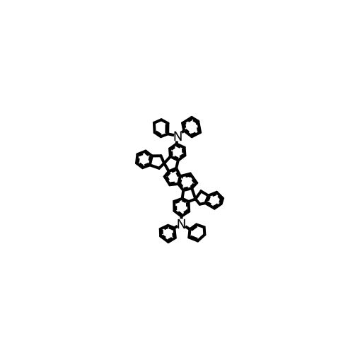 C1=CC(N(c2ccccc2)c2ccc3c(c2)C2(Cc4ccccc4C2)c2ccc4c5c(ccc4c2-3)C2(Cc3ccccc3C2)c2cc(N(C3=CCCC=C3)c3ccccc3)ccc2-5)=CCC1